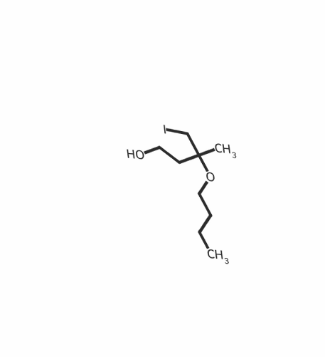 CCCCOC(C)(CI)CCO